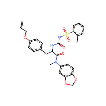 C=CCOc1ccc(CC(NC(=O)NS(=O)(=O)c2ccccc2C)C(=O)N(C)c2ccc3c(c2)OCO3)cc1